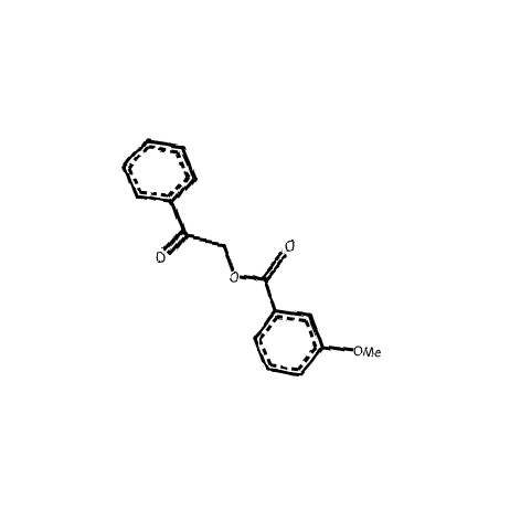 COc1cccc(C(=O)OCC(=O)c2ccccc2)c1